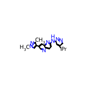 Cc1nn(C)cc1-c1cnc2ccc(Nc3cc(C(C)C)cnn3)nc2c1